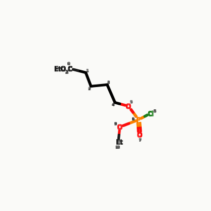 CCOC(=O)CCCCOP(=O)(Cl)OCC